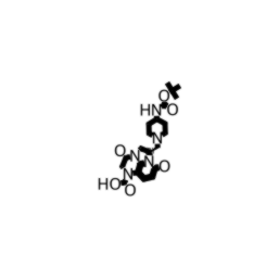 CC(C)(C)OC(=O)NC1CCN(C[C@@H]2CN3C(=O)CN(C(=O)O)c4ccc(=O)n2c43)CC1